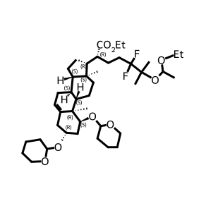 CCOC(=O)[C@H](CCC(F)(F)C(C)(C)OC(C)OCC)[C@H]1CC[C@H]2[C@@H]3CC=C4C[C@@H](OC5CCCCO5)C[C@H](OC5CCCCO5)[C@]4(C)[C@H]3CC[C@]12C